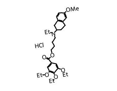 CCOc1cc(C(=O)OCCCCN(CC)C2CCc3cc(OC)ccc3C2)cc(OCC)c1OCC.Cl